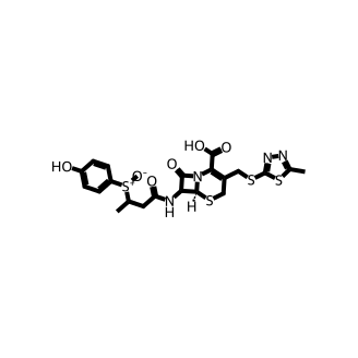 Cc1nnc(SCC2=C(C(=O)O)N3C(=O)C(NC(=O)CC(C)[S+]([O-])c4ccc(O)cc4)[C@@H]3SC2)s1